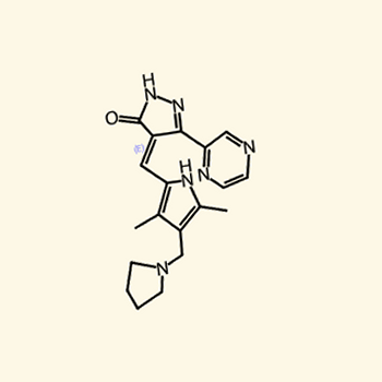 Cc1[nH]c(/C=C2/C(=O)NN=C2c2cnccn2)c(C)c1CN1CCCC1